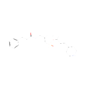 CC(CNC(=O)CCc1ccccc1)CP(=O)(O)OC(CCC1CCNCC1)C(=O)O